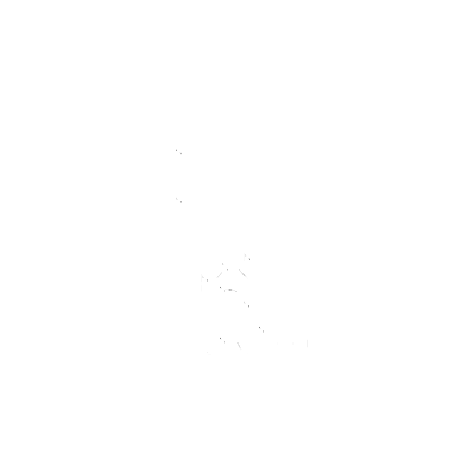 CC(C)(C)NC(=O)C1CN(c2cc(N)nc(NC3CCC(CCNCCCNC4CCCCC4)CC3)n2)CCN1CC(=O)O